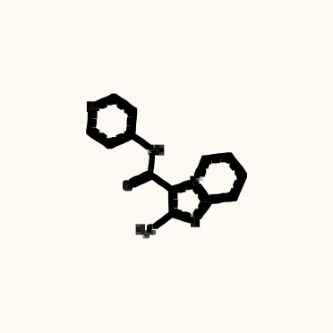 Cc1nc2ccccn2c1C(=O)Nc1ccncc1